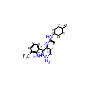 C=C(/N=C(\C=C/N)c1n[nH]c2c(C(F)(F)F)cccc12)NC1CCC(C)CC1